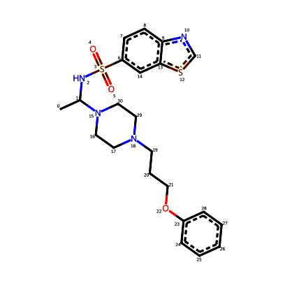 CC(NS(=O)(=O)c1ccc2ncsc2c1)N1CCN(CCCOc2ccccc2)CC1